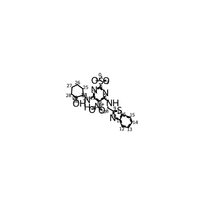 CS(=O)(=O)c1nc(NCc2nc3ccccc3s2)c([N+](=O)[O-])c(N[C@H]2CCCC[C@@H]2O)n1